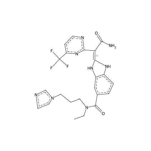 CCN(CCCn1ccnc1)C(=O)c1ccc2c(c1)N/C(=C(/C(N)=O)c1nccc(C(F)(F)F)n1)N2